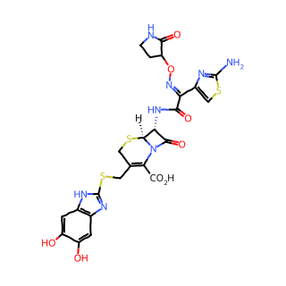 Nc1nc(C(=NOC2CCNC2=O)C(=O)N[C@@H]2C(=O)N3C(C(=O)O)=C(CSc4nc5cc(O)c(O)cc5[nH]4)CS[C@@H]23)cs1